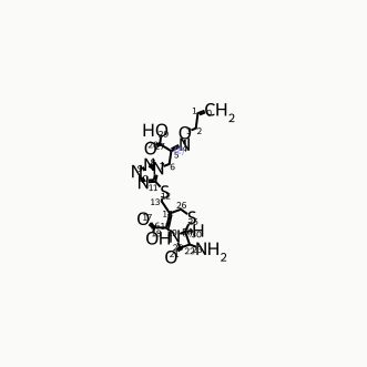 C=CCO/N=C(/Cn1nnnc1SCC1=C(C(=O)O)N2C(=O)C(N)[C@H]2SC1)C(=O)O